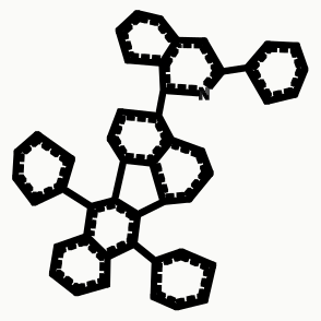 c1ccc(-c2cc3ccccc3c(-c3ccc4c5c(cccc35)-c3c-4c(-c4ccccc4)c4ccccc4c3-c3ccccc3)n2)cc1